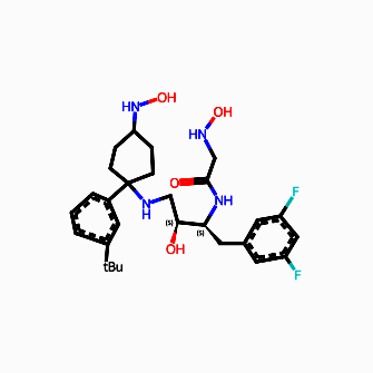 CC(C)(C)c1cccc(C2(NC[C@H](O)[C@H](Cc3cc(F)cc(F)c3)NC(=O)CNO)CCC(NO)CC2)c1